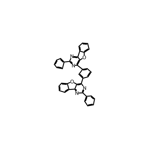 c1ccc(-c2nc(-c3cccc(-c4nc(-c5ccccc5)nc5c4oc4ccccc45)c3)c3oc4ccccc4c3n2)cc1